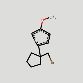 COc1ccc(C2(CBr)CCCC2)cc1